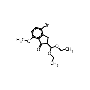 CCOC(OCC)C1Cc2c(Br)ccc(OC)c2C1=O